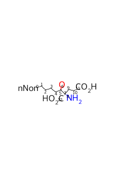 CCCCCCCCCCCCCC(=O)[C@](N)(CCC(=O)O)C(=O)O